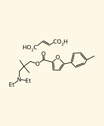 CCN(CC)CC(C)(C)COC(=O)c1ccc(-c2ccc(C)cc2)o1.O=C(O)C=CC(=O)O